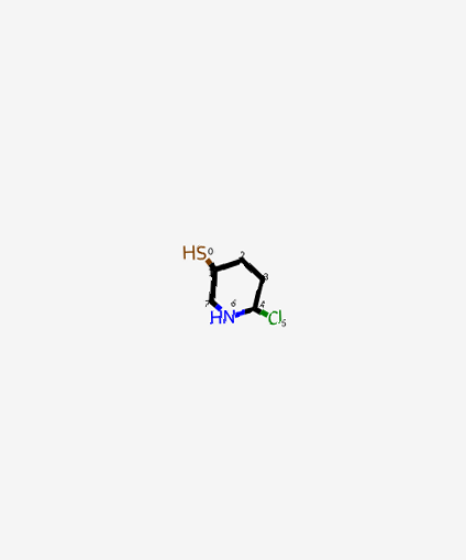 SC1CCC(Cl)NC1